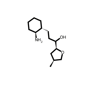 C[C@@H]1CO[C@H](C(O)CC[C@H]2CCCC[C@@H]2N)C1